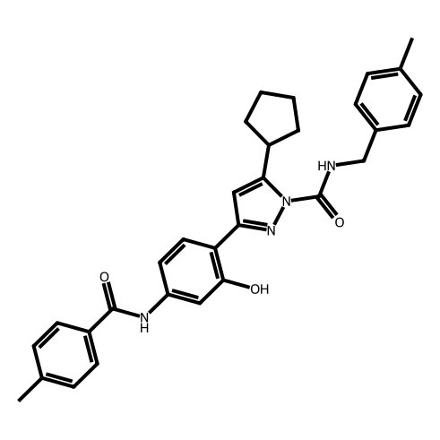 Cc1ccc(CNC(=O)n2nc(-c3ccc(NC(=O)c4ccc(C)cc4)cc3O)cc2C2CCCC2)cc1